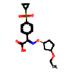 CCO[C@@H]1CC[C@@H](O/N=C(/C(=O)O)c2ccc(S(=O)(=O)C3CC3)cc2)C1